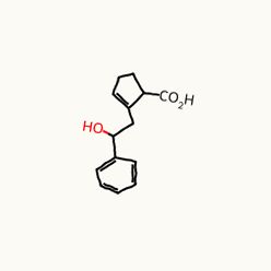 O=C(O)C1CCC=C1CC(O)c1ccccc1